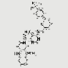 CO[C@@H]1COCC[C@@H]1NC1CCN(C(=O)c2ncnc(NCC3CCC[C@@H](c4ccc(C(F)(F)F)cc4)O3)c2C)CC1